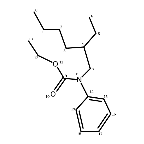 CCCCC(CC)CN(C(=O)OCC)c1ccccc1